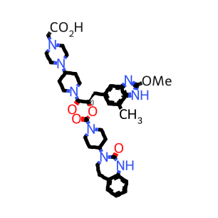 COc1nc2cc(C[C@@H](OC(=O)N3CCC(N4CCc5ccccc5NC4=O)CC3)C(=O)N3CCC(N4CCN(CC(=O)O)CC4)CC3)cc(C)c2[nH]1